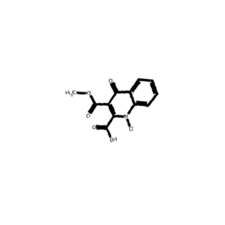 COC(=O)c1c(C(=O)O)n(Cl)c2ccccc2c1=O